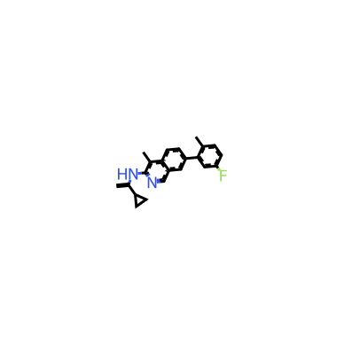 C=C(Nc1ncc2cc(-c3cc(F)ccc3C)ccc2c1C)C1CC1